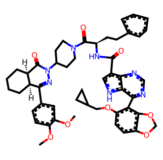 COc1ccc(C2=NN(C3CCN(C(=O)[C@@H](CCc4ccccc4)NC(=O)c4c[nH]c5c(-c6c(OCC7CC7)ccc7c6OCO7)ncnc45)CC3)C(=O)[C@@H]3CCCC[C@H]23)cc1OC